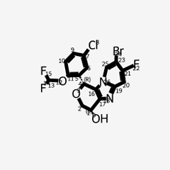 O[C@@H]1CO[C@H](c2cc(Cl)ccc2OC(F)F)c2c1nc1cc(F)c(Br)cn21